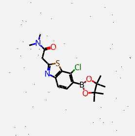 CN(C)C(=O)Cc1nc2ccc(B3OC(C)(C)C(C)(C)O3)c(Cl)c2s1